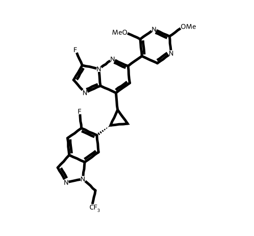 COc1ncc(-c2cc(C3C[C@@H]3c3cc4c(cnn4CC(F)(F)F)cc3F)c3ncc(F)n3n2)c(OC)n1